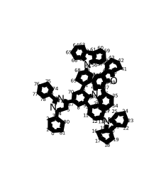 c1ccc(-c2cc(-c3cc(-c4ccc(-n5c6ccccc6c6ccccc65)cc4)c(-n4c5ccccc5c5c6oc7ccccc7c6ccc54)c(-c4ccc(-n5c6ccccc6c6ccccc65)cc4)c3)nc(-c3ccccc3)n2)cc1